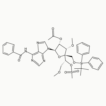 COC[C@@H](OS(C)(=O)=O)[C@]1(CO[Si](c2ccccc2)(c2ccccc2)C(C)(C)C)O[C@@H](n2cnc3c(NC(=O)c4ccccc4)ncnc32)[C@H](OC(C)=O)[C@@H]1OC